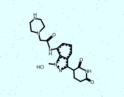 Cl.Cn1nc(C2CCC(=O)NC2=O)c2cccc(NC(=O)CN3CCNCC3)c21